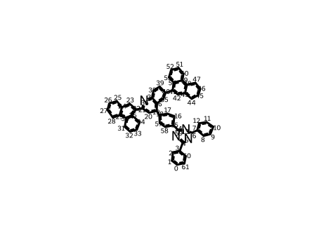 c1ccc(-c2nc(-c3ccccc3)nc(-c3ccc(-c4cc(-c5cc6ccccc6c6ccccc56)nc5ccc(-c6cc7ccccc7c7ccccc67)cc45)cc3)n2)cc1